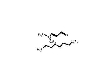 CCCCCCCC.CN(C)C=CC=O